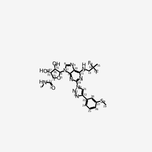 CNC(=O)[C@H]1OC(n2cnc3c(NCC(C)(F)F)nc(-n4cc(-c5cccc(SC)c5)nn4)nc32)[C@H](O)[C@@H]1O